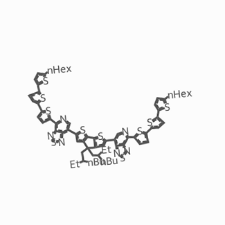 CCCCCCc1ccc(-c2ccc(-c3ccc(-c4ncc(-c5cc6c(s5)-c5sc(-c7cnc(-c8ccc(-c9ccc(-c%10ccc(CCCCCC)s%10)s9)s8)c8nsnc78)cc5C6(CC(CC)CCCC)CC(CC)CCCC)c5nsnc45)s3)s2)s1